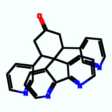 O=C1CC(c2cccnc2)C2(c3cccnc3-c3ncccc32)C(c2cccnc2)C1